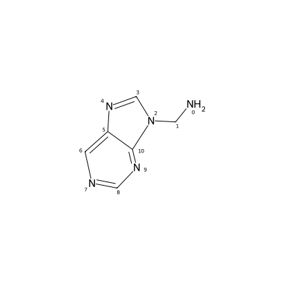 NCn1cnc2cncnc21